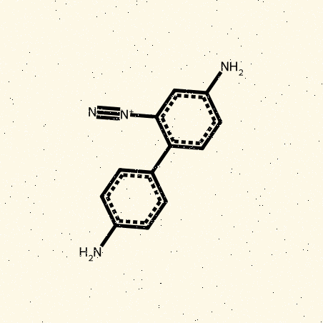 N#[N+]c1cc(N)ccc1-c1ccc(N)cc1